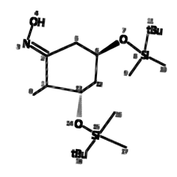 CC1C(=NO)C[C@@H](O[Si](C)(C)C(C)(C)C)C[C@@H]1O[Si](C)(C)C(C)(C)C